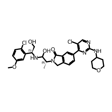 COc1ccc(Cl)c([C@@H](CO)NC(O)[C@@H](C)N2Cc3ccc(-c4nc(NC5CCOCC5)ncc4Cl)cc3C2=O)c1